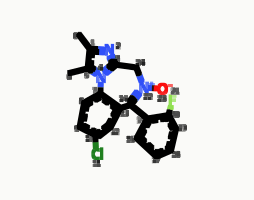 Cc1nc2n(c1C)-c1ccc(Cl)cc1C(c1ccccc1F)=[N+]([O-])C2